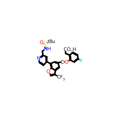 CC(C)(C)[S+]([O-])NCc1cc(-c2cc(COc3cc(F)ccc3CC(=O)O)cc3c(C(F)(F)F)coc23)ccn1